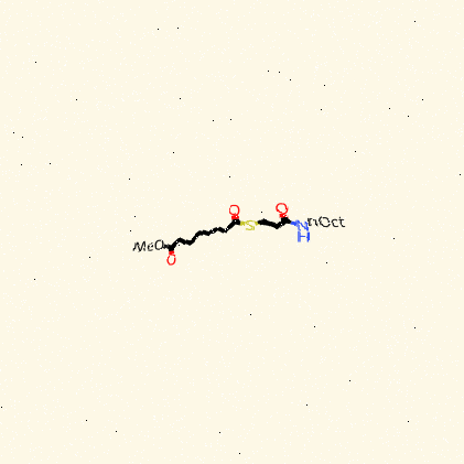 CCCCCCCCNC(=O)C=CSC(=O)CCCCCCC(=O)OC